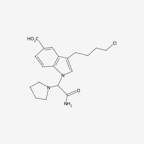 NC(=O)C(N1CCCC1)n1cc(CCCCCl)c2cc(C(=O)O)ccc21